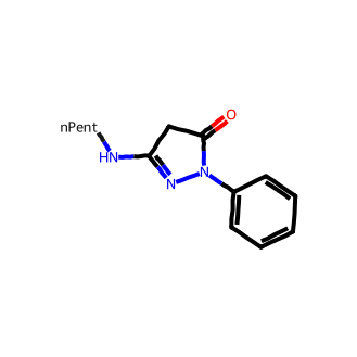 CCCCCNC1=NN(c2ccccc2)C(=O)C1